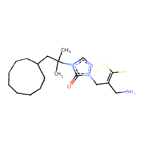 CC(C)(CC1CCCCCCCC1)n1cnn(CC(CN)=C(F)F)c1=O